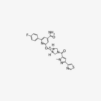 Cn1nc(-c2cscn2)cc1C(=O)N1C[C@@H]2[C@H](C1)[C@@H]2Oc1cc(C(N)=O)cc(-c2ccc(F)cc2)n1